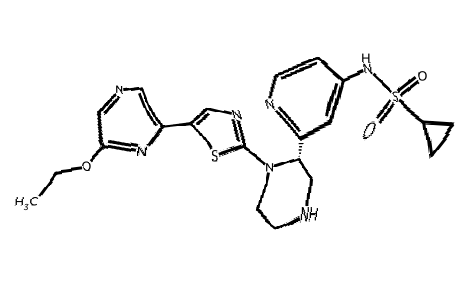 CCOc1cncc(-c2cnc(N3CCNC[C@H]3c3cc(NS(=O)(=O)C4CC4)ccn3)s2)n1